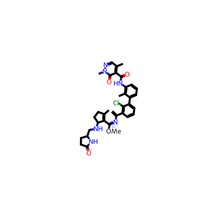 C=C(/N=C(/OC)C1=C(C)CCC1NCC1CCC(=O)N1)c1cccc(-c2cccc(NC(=O)c3c(C)cnn(C)c3=O)c2C)c1Cl